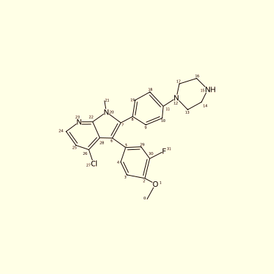 COc1ccc(-c2c(-c3ccc(N4CCNCC4)cc3)n(C)c3nccc(Cl)c23)cc1F